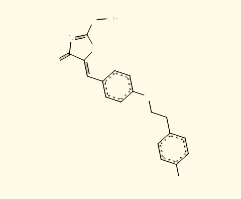 CSC1=NC(=O)C(=Cc2ccc(OCCc3ccc(F)cc3)cc2)S1